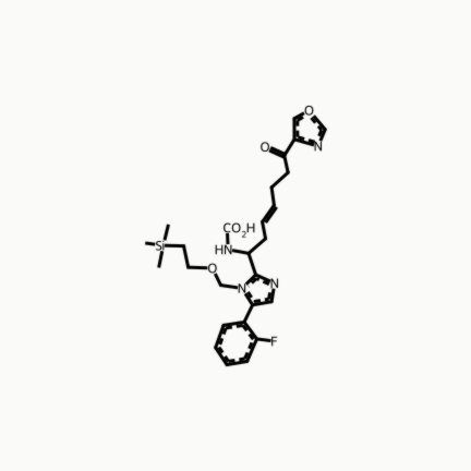 C[Si](C)(C)CCOCn1c(-c2ccccc2F)cnc1C(C/C=C/CCC(=O)c1cocn1)NC(=O)O